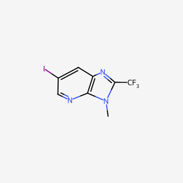 Cn1c(C(F)(F)F)nc2cc(I)cnc21